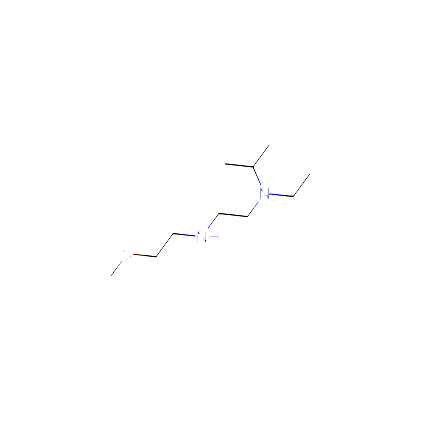 CCN(CCNCCSC)C(C)C